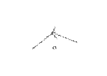 CCCCCCCCCCCCCCCCCC[P+](CCCCC)(CCCCC)CCCCCCCCCCCCCCCCCC.[Cl-]